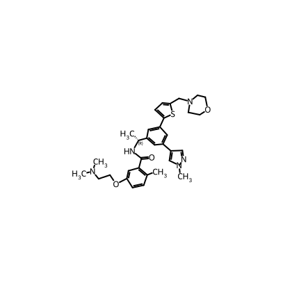 Cc1ccc(OCCN(C)C)cc1C(=O)N[C@H](C)c1cc(-c2cnn(C)c2)cc(-c2ccc(CN3CCOCC3)s2)c1